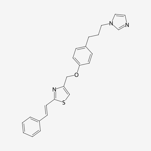 C(=C\c1nc(COc2ccc(CCCn3ccnc3)cc2)cs1)/c1ccccc1